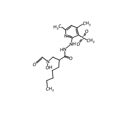 CCCCCC(CN(O)C=O)C(=O)NNc1nc(C)cc(C)c1S(C)(=O)=O